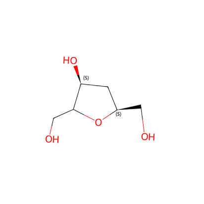 OCC1O[C@H](CO)C[C@@H]1O